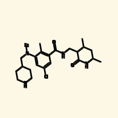 CCN(CC1CCNCC1)c1cc(Cl)cc(C(=O)NCC2C(=O)NC(C)CC2C)c1C